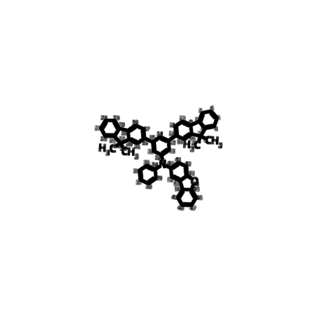 CC1(C)c2ccccc2-c2ccc(-c3cc(-c4ccc5c(c4)C(C)(C)c4ccccc4-5)cc(N(c4ccccc4)c4ccc5oc6ccccc6c5c4)c3)cc21